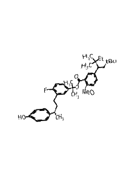 CCC(C)(C)C(CC(C)(C)C)c1ccc(OC)c(C(=O)OC(C)(C)c2ccc(F)c(CCC(C)c3ccc(O)cc3)c2)c1